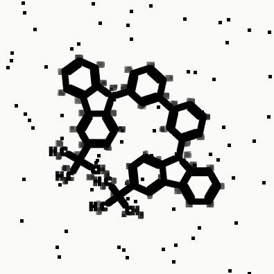 CC(C)(C)c1ccc2c(c1)c1ccccc1n2-c1cccc(-c2cccc(-n3c4ccccc4c4cc(C(C)(C)C)ccc43)c2)c1